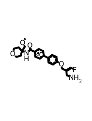 COCC1(NC(=O)C23CCC(c4ccc(OCC(=CF)CN)cc4)(CC2)CC3)CCOCC1